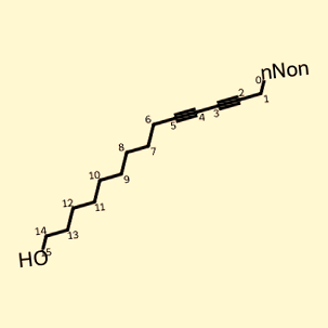 CCCCCCCCCCC#CC#CCCCCCCCCCO